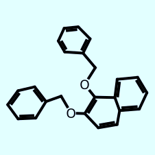 c1ccc(COc2ccc3ccccc3c2OCc2ccccc2)cc1